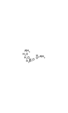 B.O.O.O.O.[AlH3].[AlH3]